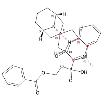 C[C@@H]1C[C@@H]2C[C@H](C1)C[C@@H](N1[C@@H]3CCC[C@H]1C[C@@H](n1c(=O)c(P(=O)(O)OCOC(=O)c4ccccc4)nc4ccccc41)C3)C2